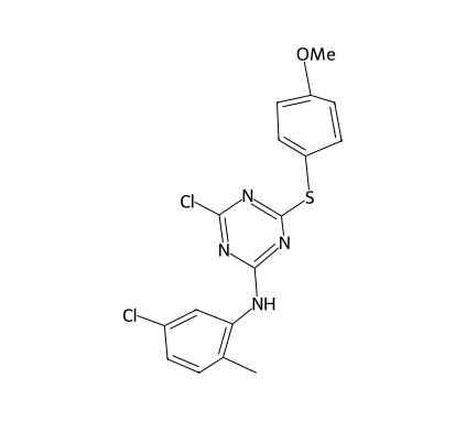 COc1ccc(Sc2nc(Cl)nc(Nc3cc(Cl)ccc3C)n2)cc1